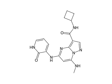 CNc1cc(Nc2ccc[nH]c2=O)nc2c(C(=O)NC3CCC3)cnn12